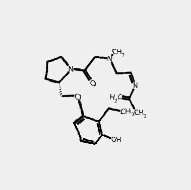 C=C(C)/N=C\CN(C)CC(=O)N1CCC[C@H]1COc1cccc(O)c1CC